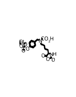 CCOP(=O)(OCC)Oc1ccc(CN(CCCCC2NC(=O)OC2=O)C(=O)O)cc1